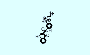 CN(C)CCS(=O)(=O)Nc1cccc(NC(=O)c2c[nH]c3ccccc3c2=O)c1